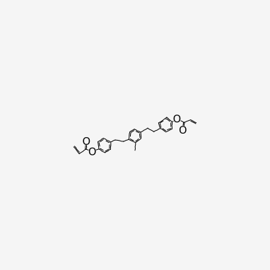 C=CC(=O)Oc1ccc(CCc2ccc(CCc3ccc(OC(=O)C=C)cc3)c(C)c2)cc1